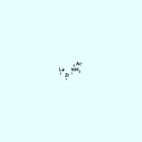 [Ac].[InH3].[La].[Zr]